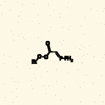 CCOOC(=O)/C=P/P